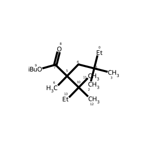 CCC(C)(C)CC(C)(C(=O)OCC(C)C)C(C)(C)CC